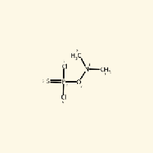 CN(C)OP(=S)(Cl)Cl